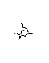 CCOB(O)OP(=O)(O)O